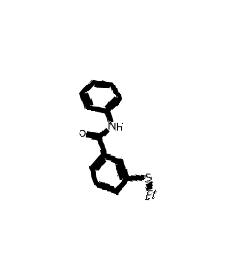 CCSc1cccc(C(=O)Nc2ccccc2)c1